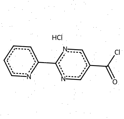 Cl.O=C(Cl)c1cnc(-c2ccccn2)nc1